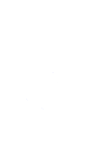 COc1c(/C=C(\C)C(=O)c2ccc(N)c(N(C)C)c2)ccc2c1OCO2